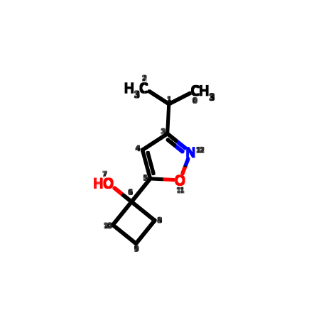 CC(C)c1cc(C2(O)CCC2)on1